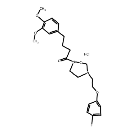 COc1ccc(CCCC(=O)N2CCN(CCOc3ccc(F)cc3)CC2)cc1OC.Cl